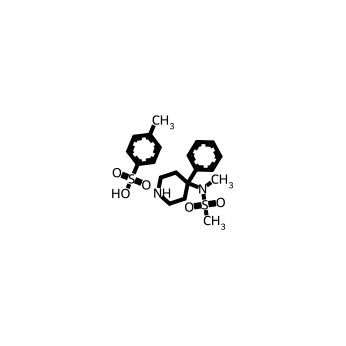 CN(C1(c2ccccc2)CCNCC1)S(C)(=O)=O.Cc1ccc(S(=O)(=O)O)cc1